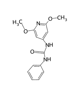 COc1cc(NC(=O)Nc2ccccc2)cc(OC)n1